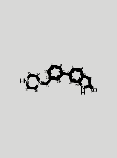 O=C1Cc2ccc(-c3cccc(CN4CCNCC4)c3)cc2N1